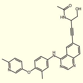 CC(=O)NC(C#Cc1ccc2ncnc(Nc3ccc(Oc4ccc(C)nc4)c(C)c3)c2c1)CO